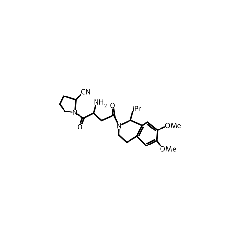 COc1cc2c(cc1OC)C(C(C)C)N(C(=O)CC(N)C(=O)N1CCCC1C#N)CC2